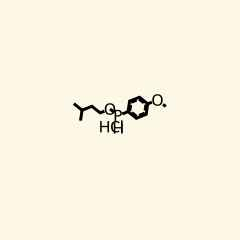 COc1ccc(POCCC(C)C)cc1.Cl